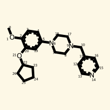 COc1ccc(N2CCN(Cc3ccncc3)CC2)cc1OC1CCCC1